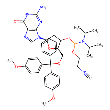 [C-]#[N+]CCOP(OC1C[C@H](n2cnc3c(=O)[nH]c(N)nc32)O[C@@H]1COC(c1ccccc1)(c1ccc(OC)cc1)c1ccc(OC)cc1)N(C(C)C)C(C)C